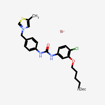 CCCCCCCCCCCCCCOc1cc(NC(=O)Nc2ccc(C[n+]3csc(C)c3)cc2)ccc1Cl.[Br-]